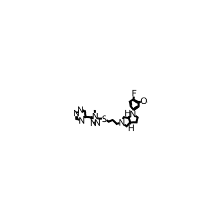 COc1cc(N2CC[C@@H]3CN(CCCSc4nnc(-c5cnncn5)n4C)C[C@@H]32)ccc1F